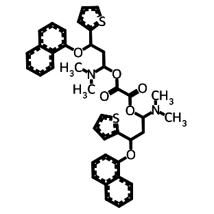 CN(C)C(CC(Oc1cccc2ccccc12)c1cccs1)OC(=O)C(=O)OC(CC(Oc1cccc2ccccc12)c1cccs1)N(C)C